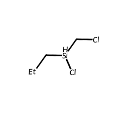 CCC[SiH](Cl)CCl